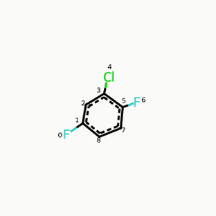 Fc1[c]c(Cl)c(F)cc1